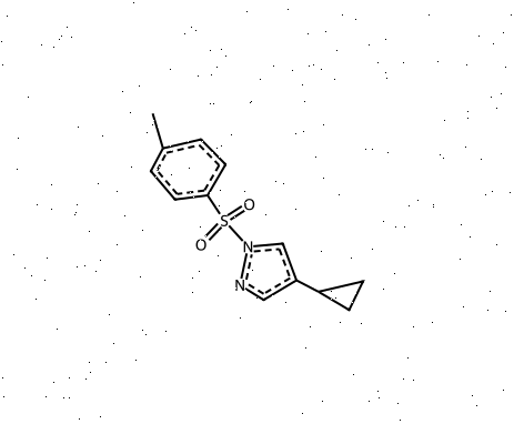 Cc1ccc(S(=O)(=O)n2cc(C3CC3)cn2)cc1